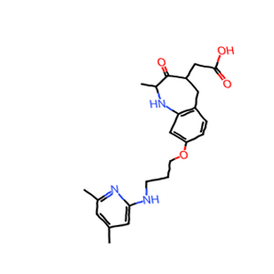 Cc1cc(C)nc(NCCCOc2ccc3c(c2)NC(C)C(=O)C(CC(=O)O)C3)c1